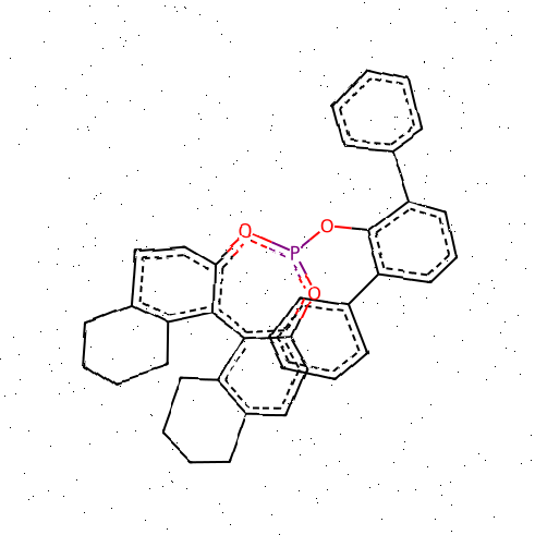 c1ccc(-c2cccc(-c3ccccc3)c2Op2oc3ccc4c(c3c3c5c(ccc3o2)CCCC5)CCCC4)cc1